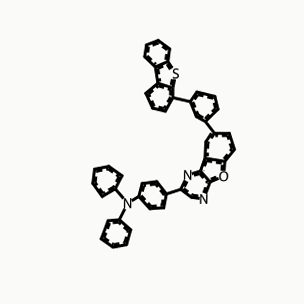 c1ccc(N(c2ccccc2)c2ccc(-c3cnc4oc5ccc(-c6cccc(-c7cccc8c7sc7ccccc78)c6)cc5c4n3)cc2)cc1